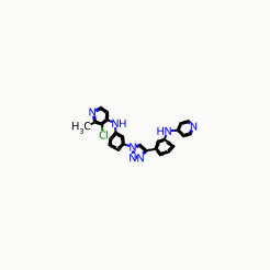 Cc1nccc(Nc2cccc(-n3cc(-c4cccc(Nc5ccncc5)c4)nn3)c2)c1Cl